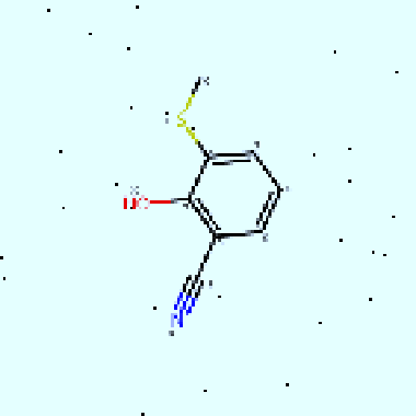 CSc1cccc(C#N)c1O